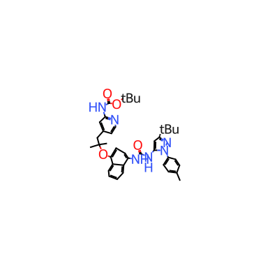 Cc1ccc(-n2nc(C(C)(C)C)cc2NC(=O)Nc2ccc(OC(C)(C)Cc3ccnc(NC(=O)OC(C)(C)C)c3)c3ccccc23)cc1